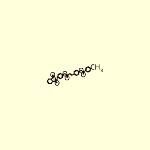 Cc1ccc(C(=O)Oc2ccc(/C=C/C(=O)Oc3ccc(N4C(=O)C5CC=CCC5C4=O)cc3)cc2)cc1